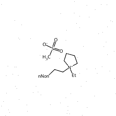 CCCCCCCCCCC[N+]1(CC)CCCC1.CS(=O)(=O)[O-]